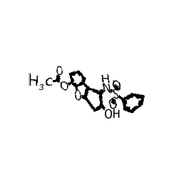 CC(=O)Oc1cccc2c1OC1CC(O)C(NS(=O)(=O)c3ccccc3)C21